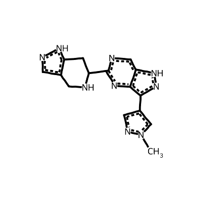 Cn1cc(-c2n[nH]c3cnc(C4Cc5[nH]ncc5CN4)nc23)cn1